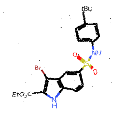 CCOC(=O)c1[nH]c2ccc(S(=O)(=O)Nc3ccc(C(C)(C)C)cc3)cc2c1Br